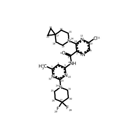 Cc1cc(NC(=O)c2ncc(Cl)nc2N2CCC3(CC2)CC3)nc(N2CCC(F)(F)CC2)n1